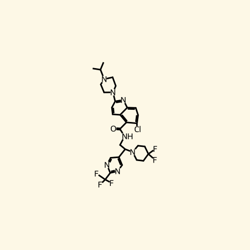 CC(C)N1CCN(c2ccc3c(C(=O)NCC(c4cnc(C(F)(F)F)nc4)N4CCC(F)(F)CC4)c(Cl)ccc3n2)CC1